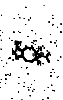 CC(C)[C@@H]1[C@@H]2CCc3c(nnn3S)CC[C@@H]21